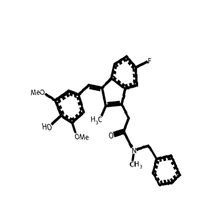 COc1cc(/C=C2\C(C)=C(CC(=O)N(C)Cc3ccccc3)c3cc(F)ccc32)cc(OC)c1O